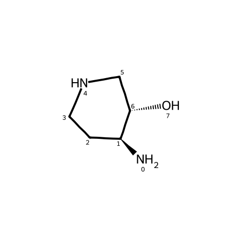 N[C@H]1CCNC[C@@H]1O